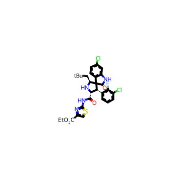 CCOC(=O)c1csc(NC(=O)[C@@H]2N[C@@H](CC(C)(C)C)C3(C(=O)Nc4cc(Cl)ccc43)[C@@H]2c2cccc(Cl)c2F)n1